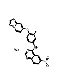 Cc1cc(Nc2ncnc3ccc([N+](=O)[O-])cc23)ccc1Oc1ccn2ncnc2c1.Cl